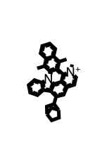 Cc1c2ccccc2c(C)c2c1c1c3c(cc[n+]1C)cc(C1CC4CCC1C4)c1c4ccccc4n2c13